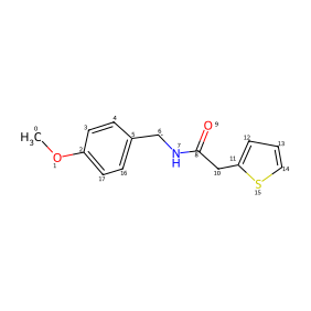 COc1ccc([CH]NC(=O)Cc2cccs2)cc1